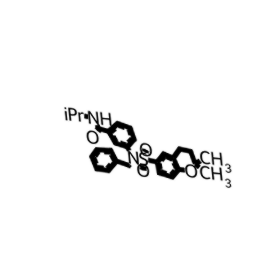 CC(C)NC(=O)c1cccc(N(Cc2ccccc2)S(=O)(=O)c2ccc3c(c2)CCC(C)(C)O3)c1